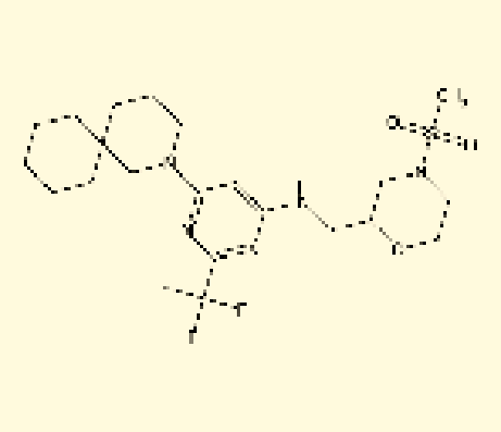 CS(=O)(=O)N1CCOC(CNc2cc(N3CCCC4(CCCCC4)C3)nc(C(F)(F)F)n2)C1